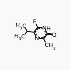 Cc1nc(C(C)C)c(F)[nH]c1=O